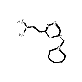 CN(C)CCC1=NOC[C@@H](CN2CCCCC2)O1